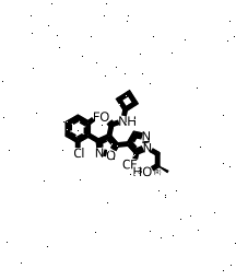 C[C@@H](O)Cn1ncc(-c2onc(-c3c(F)cccc3Cl)c2C(=O)NC2CCC2)c1C(F)(F)F